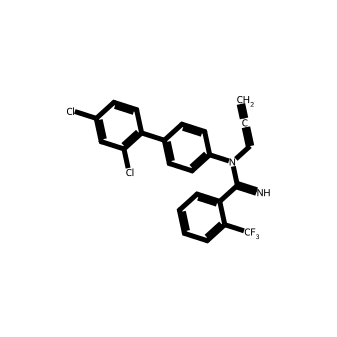 C=C=CN(C(=N)c1ccccc1C(F)(F)F)c1ccc(-c2ccc(Cl)cc2Cl)cc1